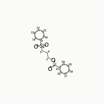 O=C(OCCCS(=O)(=O)c1ccccc1)c1ccccc1